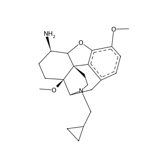 COc1ccc2c3c1OC1[C@H](N)CC[C@@]4(OC)C(C2)N(CC2CC2)CC[C@]314